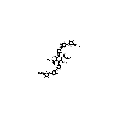 COC(=O)c1c(C)c(-c2ccc(-c3ccc(-c4ccc(C)s4)s3)s2)c(C(=O)OC)c(C)c1-c1ccc(-c2ccc(-c3ccc(C)s3)s2)s1